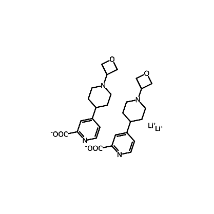 O=C([O-])c1cc(C2CCN(C3COC3)CC2)ccn1.O=C([O-])c1cc(C2CCN(C3COC3)CC2)ccn1.[Li+].[Li+]